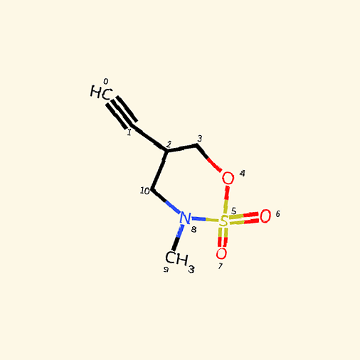 C#CC1COS(=O)(=O)N(C)C1